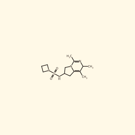 CC1=NC(C)C(C)=C2CC(NS(=O)(=O)N3CCC3)CN12